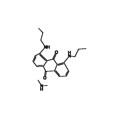 CCCNc1cccc2c1C(=O)c1c(NCCC)cccc1C2=O.CNC